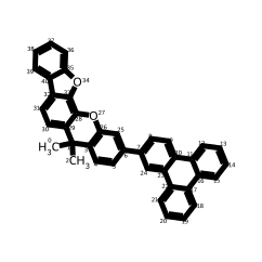 CC1(C)c2ccc(-c3ccc4c5ccccc5c5ccccc5c4c3)cc2Oc2c1ccc1c2oc2ccccc21